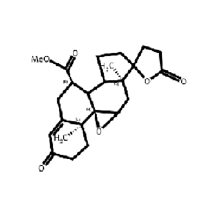 COC(=O)[C@@H]1CC2=CC(=O)CC[C@]2(C)[C@@]23OC2C[C@@]2(C)C(CCC24CCC(=O)O4)C13